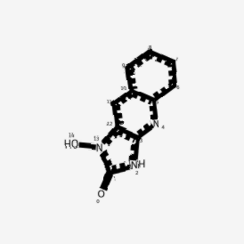 O=c1[nH]c2nc3ccccc3cc2n1O